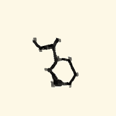 CC=C(C)C1CCCOO1